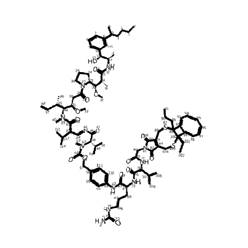 CCCCC(C)c1cccc([C@H](O)[C@@H](C)NC(=O)[C@H](C)[C@@H](OC)[C@@H]2CCCN2C(=O)C[C@@H](OC)[C@H]([C@@H](C)CC)N(C)C(=O)C(/C=N/C(=O)[C@H](C(C)C)N(C)C(=O)OCc2ccc(NC(=O)[C@H](CCCNC(N)=O)NC(=O)[C@@H](NC(=O)CN3C(=O)C4=C(CSC5(CCC)C6=C/C=C\C=C/C=C\6C5(CC)SC4)C3=O)C(C)C)cc2)C(C)C)c1